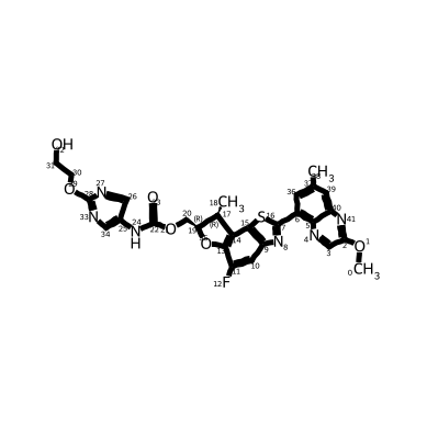 COc1cnc2c(-c3nc4cc(F)c5c(c4s3)[C@@H](C)[C@H](COC(=O)Nc3cnc(OCCO)nc3)O5)cc(C)cc2n1